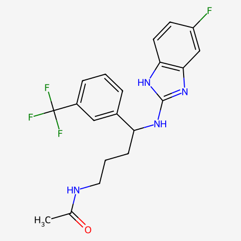 CC(=O)NCCCC(Nc1nc2cc(F)ccc2[nH]1)c1cccc(C(F)(F)F)c1